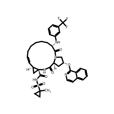 CC1(S(=O)(=O)NC(=O)[C@@]23C[C@H]2/C=C\CCCCC[C@H](Nc2cccc(C(F)(F)F)c2)C(=O)N2C[C@H](Oc4nccc5ccccc45)C[C@H]2C(=O)N3)CC1